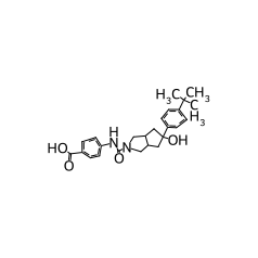 CC(C)(C)c1ccc(C2(O)CC3CN(C(=O)Nc4ccc(C(=O)O)cc4)CC3C2)cc1